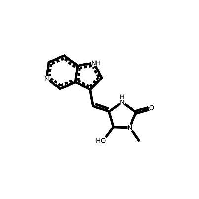 CN1C(=O)N/C(=C\c2c[nH]c3ccncc23)C1O